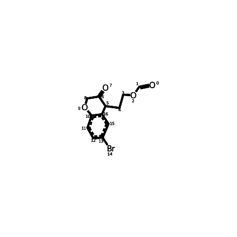 O=COCCC1C(=O)COc2ccc(Br)cc21